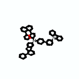 c1ccc(-c2cccc3c2Cc2ccc(N(c4ccc(-c5cccc(-n6c7ccccc7c7ccccc76)c5)cc4)c4ccc(-c5cccc6cccc(-c7ccccc7)c56)cc4)cc2-3)cc1